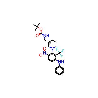 CC(C)(C)OC(=O)NC[C@@H]1CCCN(c2c([N+](=O)[O-])ccc(Nc3ccccc3)c2C(F)(F)F)C1